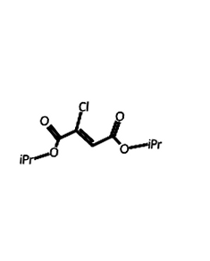 CC(C)OC(=O)C=C(Cl)C(=O)OC(C)C